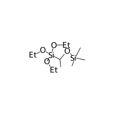 CCO[Si](OCC)(OCC)C(C)O[Si](C)(C)C